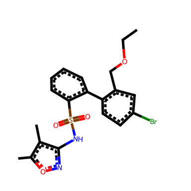 CCOCc1cc(Br)ccc1-c1ccccc1S(=O)(=O)Nc1noc(C)c1C